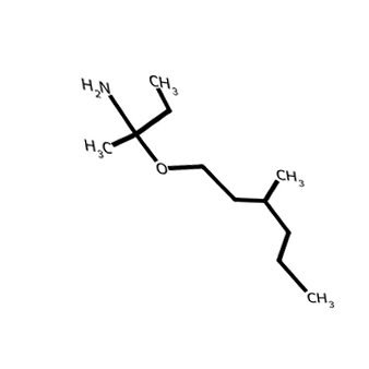 CCCC(C)CCOC(C)(N)CC